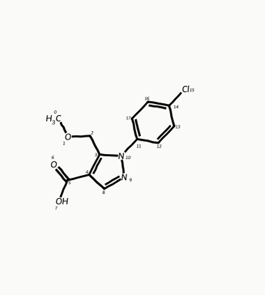 COCc1c(C(=O)O)cnn1-c1ccc(Cl)cc1